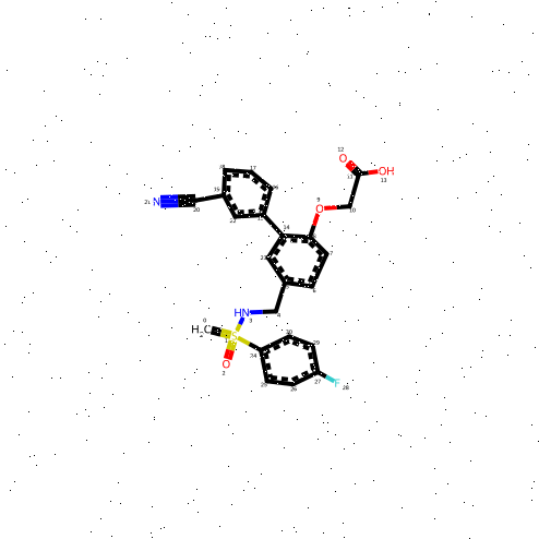 C=S(=O)(NCc1ccc(OCC(=O)O)c(-c2cccc(C#N)c2)c1)c1ccc(F)cc1